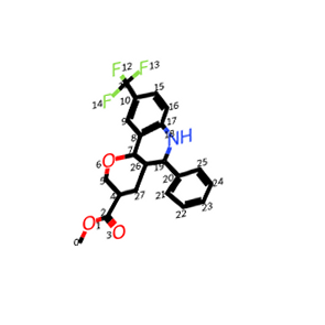 COC(=O)C1COC2c3cc(C(F)(F)F)ccc3NC(c3ccccc3)C2C1